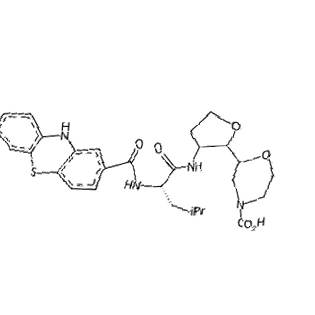 CC(C)C[C@H](NC(=O)c1ccc2c(c1)Nc1ccccc1S2)C(=O)NC1CCOC1C1CN(C(=O)O)CCO1